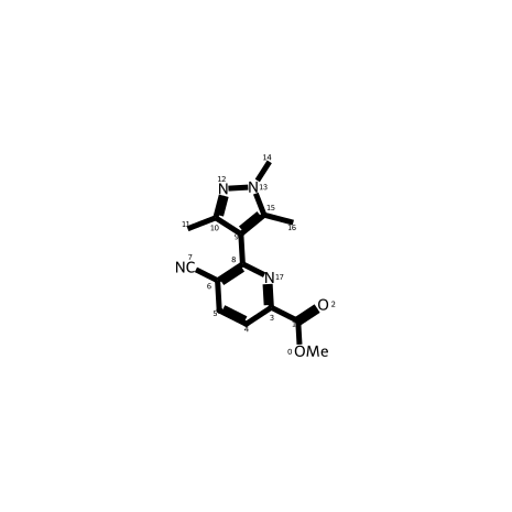 COC(=O)c1ccc(C#N)c(-c2c(C)nn(C)c2C)n1